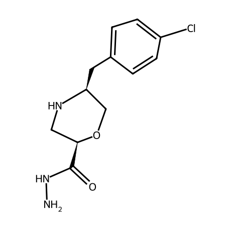 NNC(=O)[C@H]1CN[C@@H](Cc2ccc(Cl)cc2)CO1